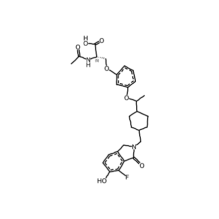 CC(=O)N[C@@H](COc1cccc(OC(C)C2CCC(CN3Cc4ccc(O)c(F)c4C3=O)CC2)c1)C(=O)O